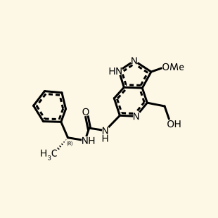 COc1n[nH]c2cc(NC(=O)N[C@H](C)c3ccccc3)nc(CO)c12